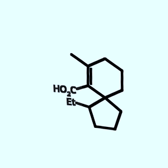 CCC1CCCC12CCCC(C)=C2C(=O)O